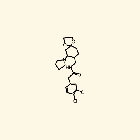 O=C(Cc1ccc(Cl)c(Cl)c1)NCC1CCC2(CC1N1CCCC1)OCCO2